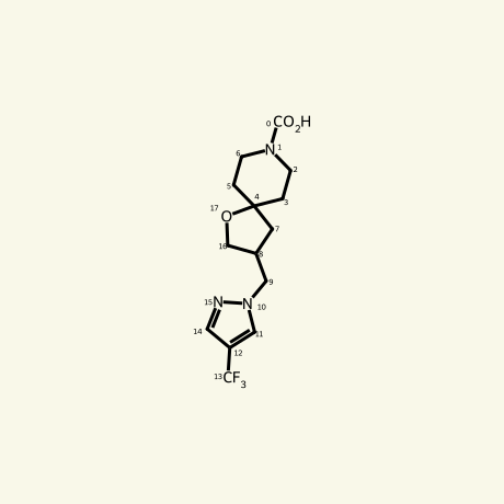 O=C(O)N1CCC2(CC1)CC(Cn1cc(C(F)(F)F)cn1)CO2